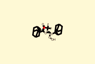 O=C(OCOC1C2CC3CC(C2)CC1C3)C12CC3CC(C1)C(OC(=O)C(F)(F)SOOO)C(C3)C2